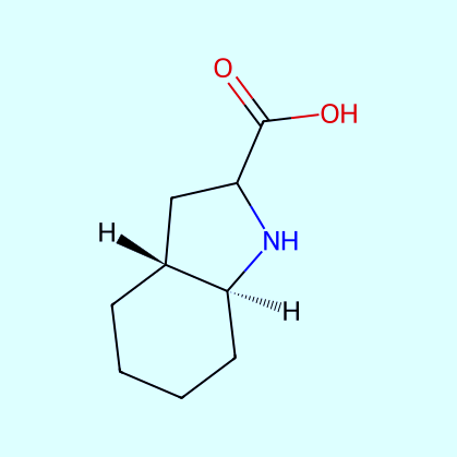 O=C(O)C1C[C@H]2CCCC[C@@H]2N1